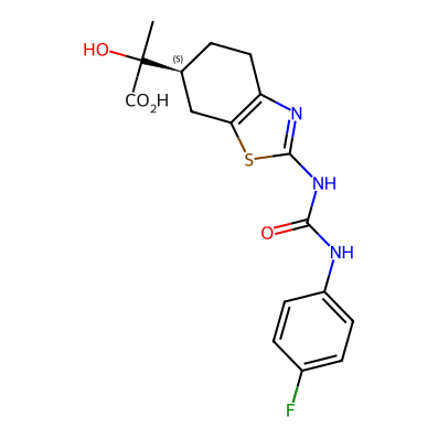 CC(O)(C(=O)O)[C@H]1CCc2nc(NC(=O)Nc3ccc(F)cc3)sc2C1